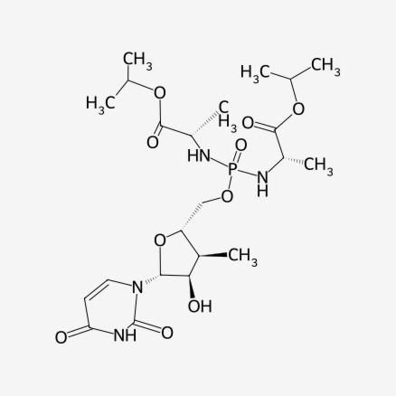 CC(C)OC(=O)[C@H](C)NP(=O)(N[C@@H](C)C(=O)OC(C)C)OC[C@H]1O[C@@H](n2ccc(=O)[nH]c2=O)[C@H](O)[C@@H]1C